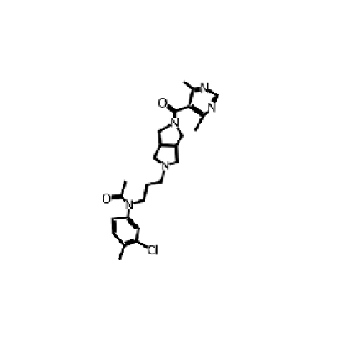 CC(=O)N(CCCN1CC2CN(C(=O)c3c(C)ncnc3C)CC2C1)c1ccc(C)c(Cl)c1